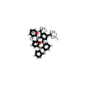 CC(C)c1cc(C(C)C)c(B2c3ccccc3Oc3ccc(N4c5ccccc5Sc5ccccc54)cc32)c(C(C)C)c1